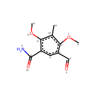 COc1c(C=O)cc(C(N)=O)c(OC)c1C